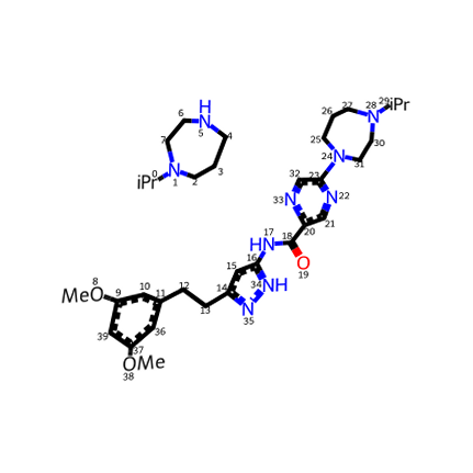 CC(C)N1CCCNCC1.COc1cc(CCc2cc(NC(=O)c3cnc(N4CCCN(C(C)C)CC4)cn3)[nH]n2)cc(OC)c1